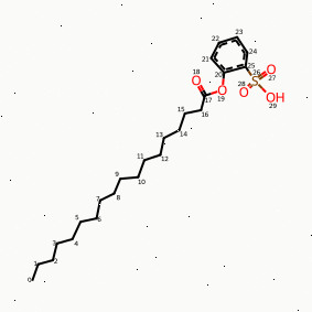 CCCCCCCCCCCCCCCCCC(=O)Oc1ccccc1S(=O)(=O)O